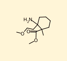 COCCC1(N)CCCCC1(C)C(=O)OC